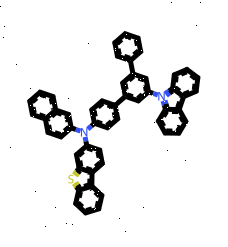 c1ccc(-c2cc(-c3ccc(N(c4ccc5ccccc5c4)c4ccc5c(c4)sc4ccccc45)cc3)cc(-n3c4ccccc4c4ccccc43)c2)cc1